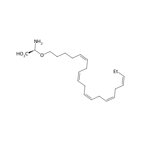 CC/C=C\C/C=C\C/C=C\C/C=C\C/C=C\CCCCO[C@H](N)C(=O)O